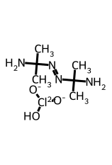 CC(C)(N)/N=N/C(C)(C)N.[O-][Cl+2]([O-])O